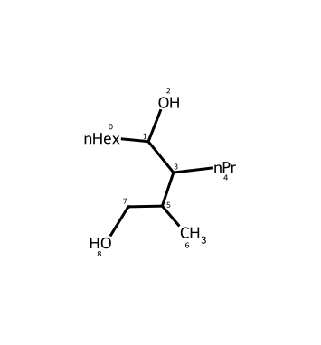 CCCCCCC(O)C(CCC)C(C)CO